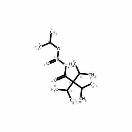 CC(C)[O][Ti](=[O])[O]C(=O)C(C(C)C)(C(C)C)C(C)C